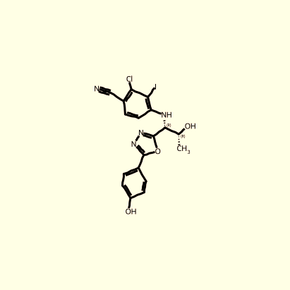 C[C@@H](O)[C@@H](Nc1ccc(C#N)c(Cl)c1I)c1nnc(-c2ccc(O)cc2)o1